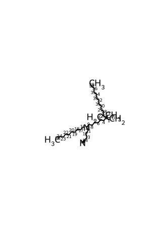 C=CC(C)(CCCCCCN(CCCC#N)CCCCCCCCCC)C(=C)CCCCCCCCCCC